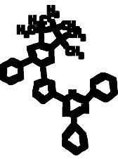 CC1(C)c2cc(-c3ccccc3)c(-c3cccc(-c4nc(-c5ccccc5)nc(-c5ccccc5)n4)c3)cc2C(C)(C)C1(C)C